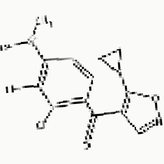 C[S+]([O-])c1ccc(C(=O)c2cnoc2C2CC2)c(Cl)c1Cl